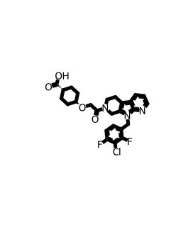 O=C(CO[C@H]1CC[C@@H](C(=O)O)CC1)N1CCc2c(n(Cc3ccc(F)c(Cl)c3F)c3ncccc23)C1